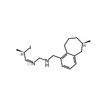 C[C@@H]1CCCc2c(CNC/N=C\[C@@H](C)I)cccc2C1